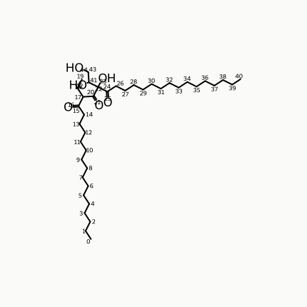 CCCCCCCCCCCCCCCC(=O)C(CC)C(=O)C(O)(C(=O)CCCCCCCCCCCCCCC)C(O)CO